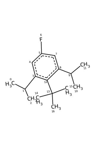 CC(C)c1cc(F)cc(C(C)C)c1C(C)(C)C